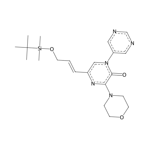 CC(C)(C)[Si](C)(C)OC/C=C/c1cn(-c2cncnc2)c(=O)c(N2CCOCC2)n1